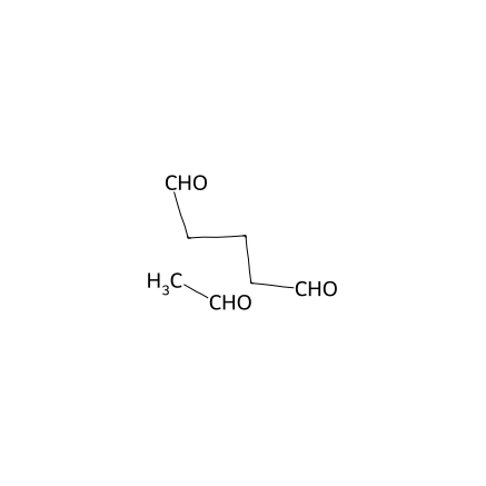 CC=O.O=CCCCC=O